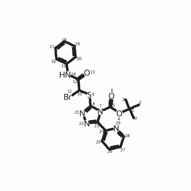 CC(C)(C)OC(=O)n1c(SC(Br)C(=O)Nc2ccccc2)nnc1-c1ccccn1